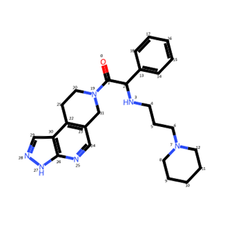 O=C(C(NCCCN1CCCCC1)c1ccccc1)N1CCc2c(cnc3[nH]ncc23)C1